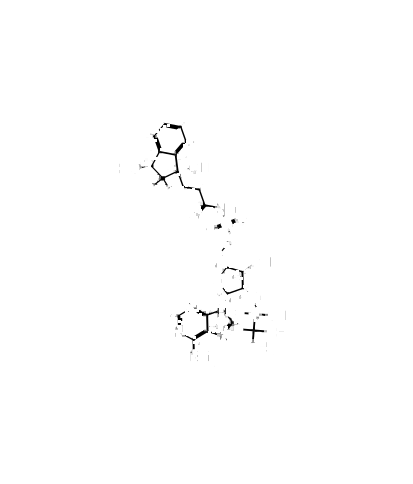 CC(C)(C)[Si](C)(C)O[C@@H]1[C@H](O)[C@@H](COS(=O)(=O)NC(=O)CC[C@]2(O)c3ccccc3[C@H](O)C2(F)F)O[C@H]1n1cnc2c(N)ncnc21